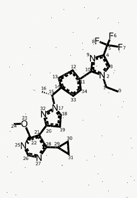 CCn1cc(C(F)(F)F)nc1-c1ccc([C@@H](C)n2ccc(-c3c(OC)ncnc3C3CC3)n2)cc1